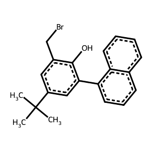 CC(C)(C)c1cc(CBr)c(O)c(-c2cccc3ccccc23)c1